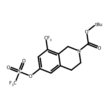 CC(C)(C)OC(=O)N1CCc2cc(OS(=O)(=O)C(F)(F)F)cc(C(F)(F)F)c2C1